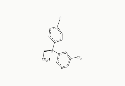 O=C(O)C[C@@H](c1ccc(F)cc1)c1cncc(C(F)(F)F)c1